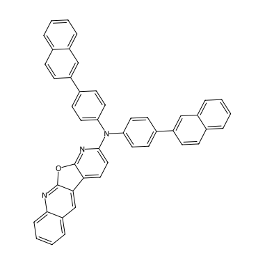 c1ccc2cc(-c3ccc(N(c4ccc(-c5ccc6ccccc6c5)cc4)c4ccc5c(n4)oc4nc6ccccc6cc45)cc3)ccc2c1